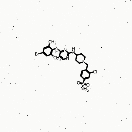 Cc1cc(Br)cc(C)c1Nc1ccnc(NC2CCN(Cc3ccc(S(N)(=O)=O)cc3Cl)CC2)n1